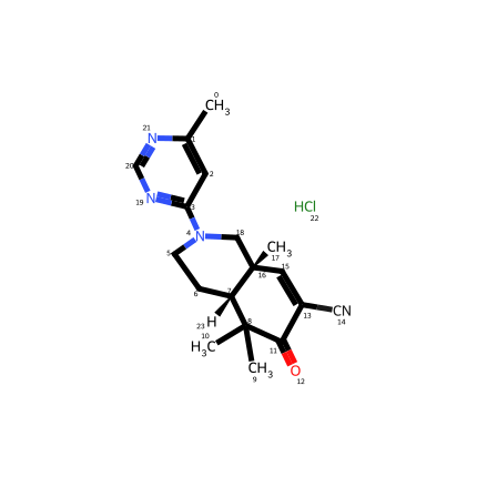 Cc1cc(N2CC[C@H]3C(C)(C)C(=O)C(C#N)=C[C@@]3(C)C2)ncn1.Cl